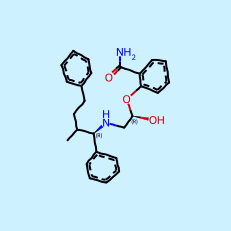 CC(CCc1ccccc1)[C@@H](NC[C@H](O)Oc1ccccc1C(N)=O)c1ccccc1